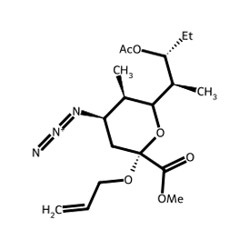 C=CCO[C@]1(C(=O)OC)C[C@@H](N=[N+]=[N-])[C@@H](C)C([C@H](C)[C@@H](CC)OC(C)=O)O1